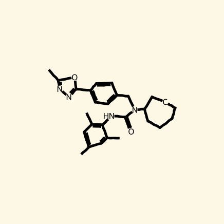 Cc1cc(C)c(NC(=O)N(Cc2ccc(-c3nnc(C)o3)cc2)C2CCCCCC2)c(C)c1